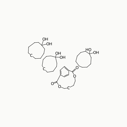 O=C1OCCCCOC(=O)c2ccc1cc2.OC1(O)CCCCCCCCC1.OC1(O)CCCCCCCCC1.OC1(O)CCCCCCCCC1